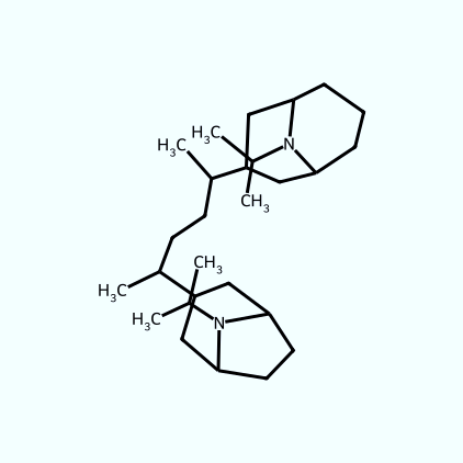 CC(CCC(C)C1CC2CCC(C1)N2C(C)C)C1CC2CCCC(C1)N2C(C)C